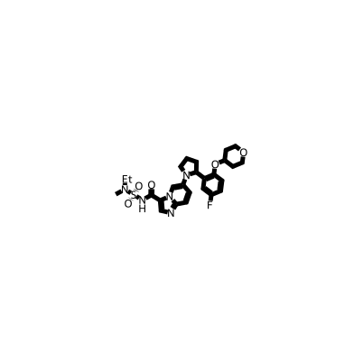 CCN(C)S(=O)(=O)NC(=O)c1cnc2ccc(N3CCCC3c3cc(F)ccc3OC3CCOCC3)cn12